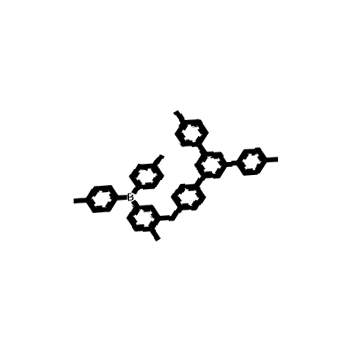 Cc1ccc(B(c2ccc(C)cc2)c2ccc(C)c(Cc3ccc(-c4cc(-c5ccc(C)cc5)cc(-c5ccc(C)cc5)c4)cc3)c2)cc1